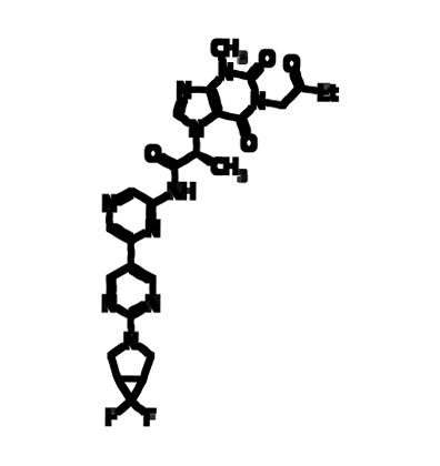 CCC(=O)Cn1c(=O)c2c(ncn2[C@@H](C)C(=O)Nc2cncc(-c3cnc(N4CC5C(C4)C5(F)F)nc3)n2)n(C)c1=O